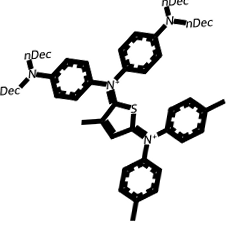 CCCCCCCCCCN(CCCCCCCCCC)c1ccc([N+](=C2SC(=[N+](c3ccc(C)cc3)c3ccc(C)cc3)C=C2C)c2ccc(N(CCCCCCCCCC)CCCCCCCCCC)cc2)cc1